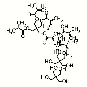 C=C(C)C(=O)O.C=C(C)C(=O)O.C=C(C)C(=O)OCC(COC(=O)C(=C)C)(COC(=O)C(=C)C)COC(=O)C(=C)C.OCC(CO)(CO)CO.OCC(CO)(CO)CO